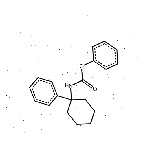 O=C(NC1(c2ccccc2)CCCCC1)Oc1ccccc1